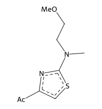 COCCN(C)c1nc(C(C)=O)cs1